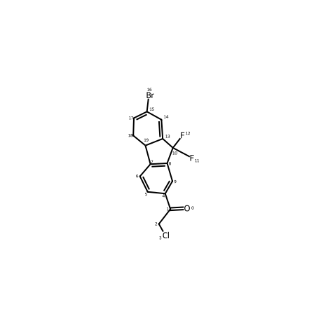 O=C(CCl)c1ccc2c(c1)C(F)(F)C1=CC(Br)=CCC12